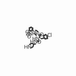 CS(=O)(=O)Nc1ccccc1N1CCN(C(=O)[C@@H](Cc2ccc(Cl)cc2)NC(=O)NCC2CCNCC2)CC1